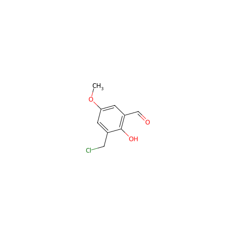 COc1cc(C=O)c(O)c(CCl)c1